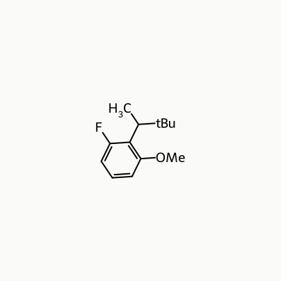 COc1cccc(F)c1C(C)C(C)(C)C